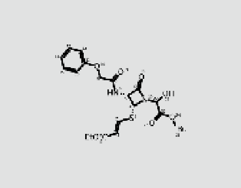 CCOC(=O)C=CS[C@@H]1[C@H](NC(=O)COc2ccccc2)C(=O)N1C(O)C(=O)OC(C)(C)C